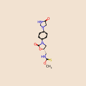 COC(=S)NC[C@H]1CN(c2ccc(N3CNC(=O)C3)cc2)C(=O)O1